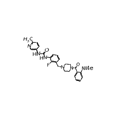 CNc1ccccc1C(=O)N1CCN(Cc2cccc(NC(=O)Nc3ccc(C)nc3)c2F)CC1